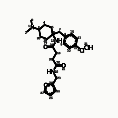 CN(C)C1CCC(Cc2ccc(Cl)cc2)(NC(=O)CCC(=O)NCc2ccco2)CC1.Cl